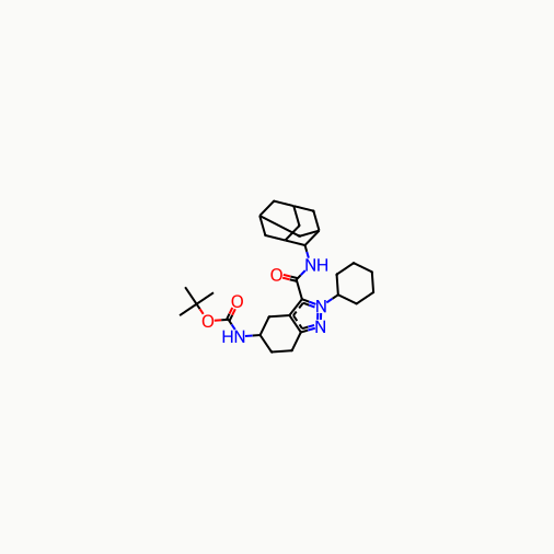 CC(C)(C)OC(=O)NC1CCc2nn(C3CCCCC3)c(C(=O)NC3C4CC5CC(C4)CC3C5)c2C1